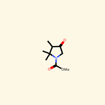 COC(=O)N1CC(=O)C(C)C1(C)C